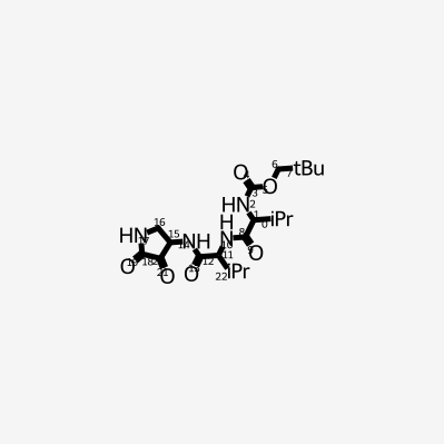 CC(C)C(NC(=O)OCC(C)(C)C)C(=O)NC(C(=O)NC1CNC(=O)C1=O)C(C)C